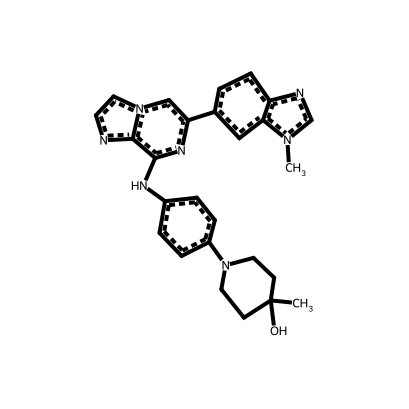 Cn1cnc2ccc(-c3cn4ccnc4c(Nc4ccc(N5CCC(C)(O)CC5)cc4)n3)cc21